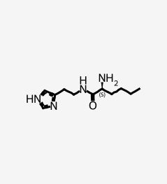 CCCC[C@H](N)C(=O)NCCc1c[nH]cn1